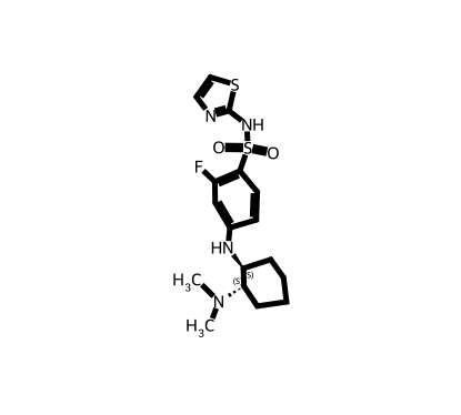 CN(C)[C@H]1CCCC[C@@H]1Nc1ccc(S(=O)(=O)Nc2nccs2)c(F)c1